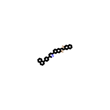 c1ccc2cc3c(cc2c1)sc1c2cc4ccc(-c5ccc(-c6ccc(-c7cccc8ccccc78)cc6)cn5)cc4cc2sc31